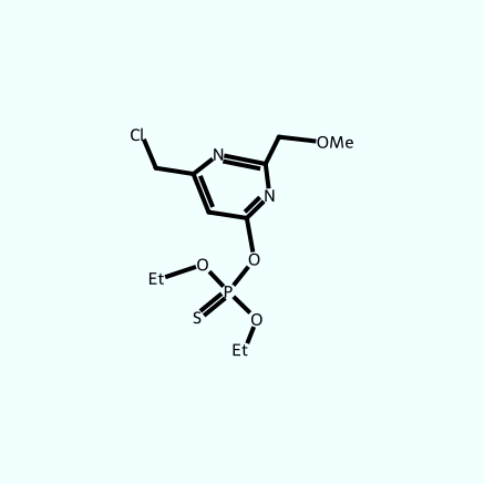 CCOP(=S)(OCC)Oc1cc(CCl)nc(COC)n1